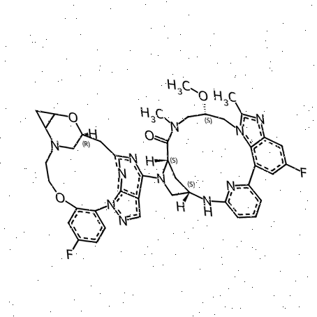 CO[C@H]1CN(C)C(=O)[C@@H]2C[C@@H](CN2c2nc3nc4c2cnn4-c2ccc(F)cc2OCCN2C[C@@H](C3)OC3CC32)Nc2cccc(n2)-c2cc(F)cc3nc(C)n(c23)C1